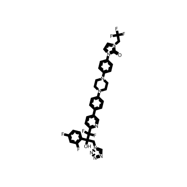 O=c1n(CC(F)(F)F)ccn1-c1ccc(N2CCN(c3ccc(-c4ccc(C(F)(F)C(O)(Cn5cnnn5)c5ccc(F)cc5F)nc4)cc3)CC2)cc1